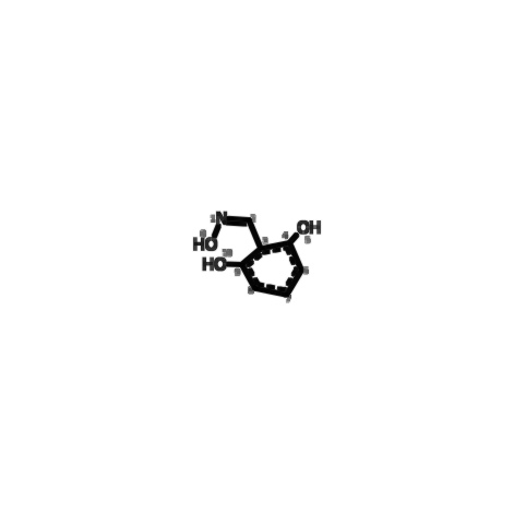 O/N=C\c1c(O)cccc1O